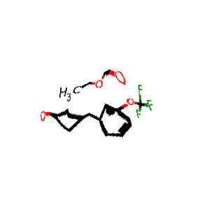 CCOC=O.O=C1CC(c2cccc(OC(F)(F)F)c2)C1